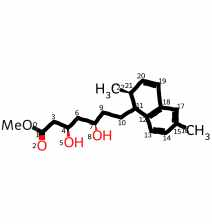 COC(=O)C[C@H](O)C[C@@H](O)CCC1c2ccc(C)cc2C=C[C@@H]1C